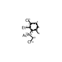 CCc1c(Cl)ccc(C)c1N(CCl)C(C)=O